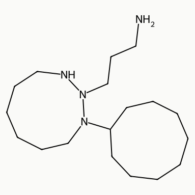 NCCCN1NCCCCCCN1C1CCCCCCCC1